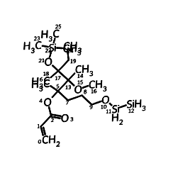 C=CC(=O)OC(C)(CCCO[SiH2][SiH3])C(C)(OC)C(C)(CC)O[Si](C)(C)C